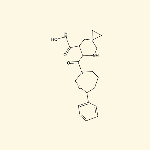 O=C(NO)C1CC2(CC2)CNC1C(=O)N1CCCC(c2ccccc2)CC1